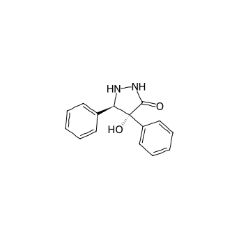 O=C1NN[C@H](c2ccccc2)[C@]1(O)c1ccccc1